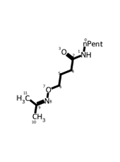 CCCCCNC(=O)CCCON=C(C)C